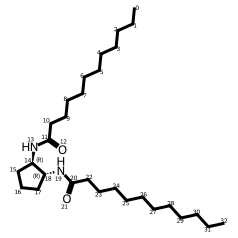 CCCCCCCCCCCC(=O)N[C@@H]1CCC[C@H]1NC(=O)CCCCCCCCCCC